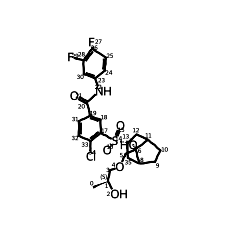 C[C@H](O)COC[C@]1(O)C2CCC1C[C@@H](S(=O)(=O)c1cc(C(=O)Nc3ccc(F)c(F)c3)ccc1Cl)C2